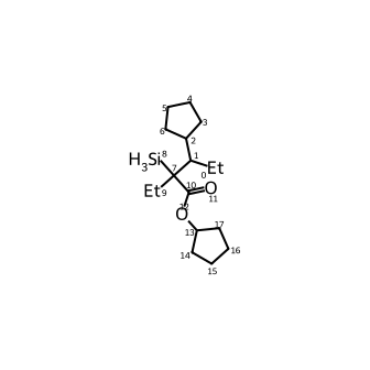 CCC(C1CCCC1)C([SiH3])(CC)C(=O)OC1CCCC1